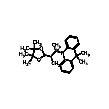 CC(B1OC(C)(C)C(C)(C)O1)[C@H](C)N1c2ccccc2C(C)(C)c2ccccc21